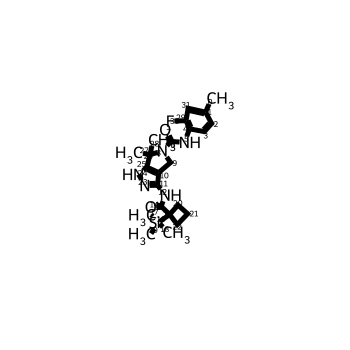 Cc1ccc(NC(=O)N2Cc3c(NC(=O)C4([Si](C)(C)C)CCC4)n[nH]c3C2(C)C)c(F)c1